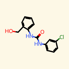 O=C(Nc1cccc(Cl)c1)Nc1ccccc1CO